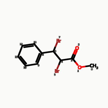 COC(=O)C(Br)C(Br)c1ccccc1